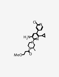 COCCC(=O)N1CCN(c2nc(C3CC3)c(-c3ccnc(Cl)c3)cc2N)C[C@H]1C